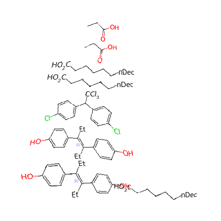 CC/C(=C(/CC)c1ccc(O)cc1)c1ccc(O)cc1.CC/C(=C(/CC)c1ccc(O)cc1)c1ccc(O)cc1.CCC(=O)O.CCC(=O)O.CCCCCCCCCCCCCCCC(=O)O.CCCCCCCCCCCCCCCC(=O)O.CCCCCCCCCCCCCCCC(=O)O.Clc1ccc(C(c2ccc(Cl)cc2)C(Cl)(Cl)Cl)cc1